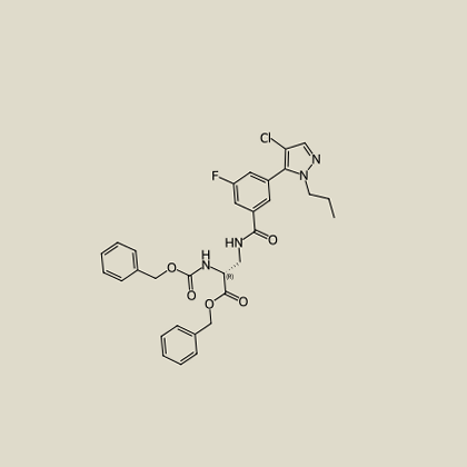 CCCn1ncc(Cl)c1-c1cc(F)cc(C(=O)NC[C@@H](NC(=O)OCc2ccccc2)C(=O)OCc2ccccc2)c1